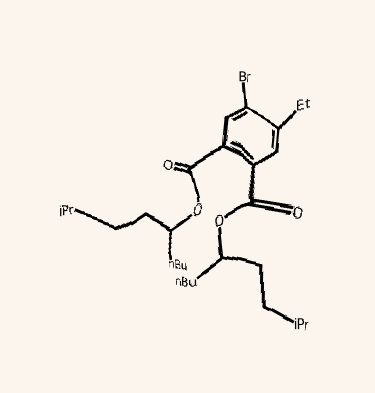 CCCCC(CCC(C)C)OC(=O)c1cc(Br)c(CC)cc1C(=O)OC(CCCC)CCC(C)C